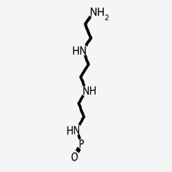 NCCNCCNCCNP=O